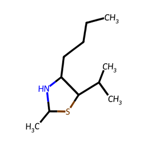 CCCCC1NC(C)SC1C(C)C